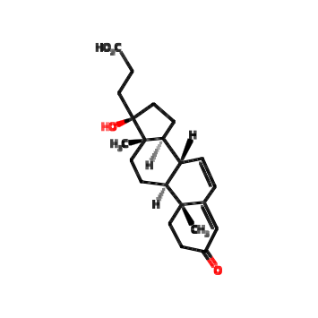 C[C@]12CCC(=O)C=C1C=C[C@@H]1[C@@H]2CC[C@@]2(C)[C@H]1CC[C@@]2(O)CCC(=O)O